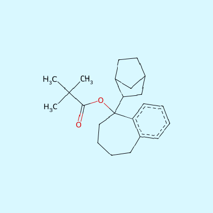 CC(C)(C)C(=O)OC1(C2CC3CCC2C3)CCCCc2ccccc21